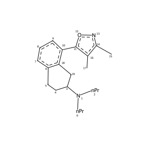 CCCN(CCC)C1CCc2cccc(-c3onc(C)c3C)c2C1